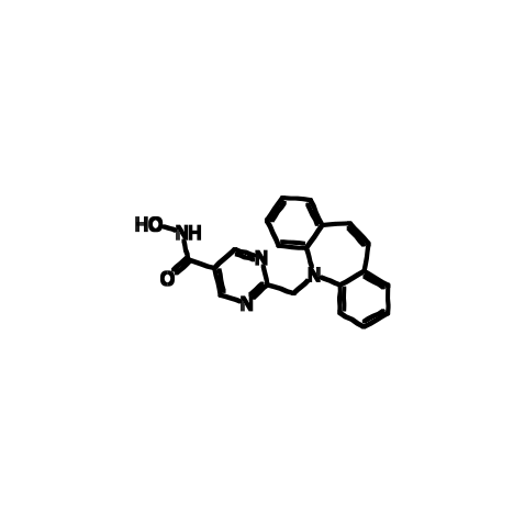 O=C(NO)c1cnc(CN2c3ccccc3C=Cc3ccccc32)nc1